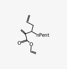 C=CCC(CCCCC)C(=C)C(=O)OC=C